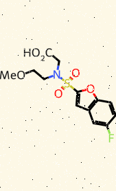 COCCN(CC(=O)O)S(=O)(=O)c1cc2cc(F)ccc2o1